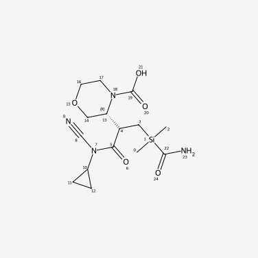 C[Si](C)(CC(C(=O)N(C#N)C1CC1)[C@@H]1COCCN1C(=O)O)C(N)=O